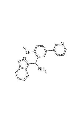 COc1ccc(-c2cccnc2)cc1C(N)c1occ2ccccc12